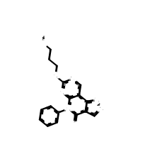 CCOCCCNc1ncc2c3n[nH]cc3c(=O)n(-c3ccccc3)c2n1